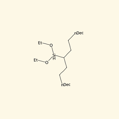 CCCCCCCCCCCCC(CCCCCCCCCCCC)[SiH](OCC)OCC